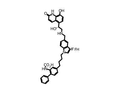 F.F.O=C(O)Nc1cc(CCCCn2ccc3cc(CNC[C@H](O)c4ccc(O)c5[nH]c(=O)ccc45)ccc32)ccc1-c1ccccc1